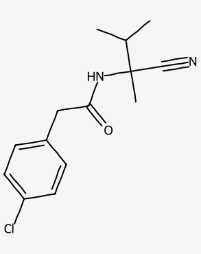 CC(C)C(C)(C#N)NC(=O)Cc1ccc(Cl)cc1